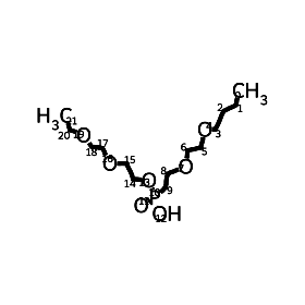 CCCCOCCOCCP(=O)(O)OCCOCCOCC